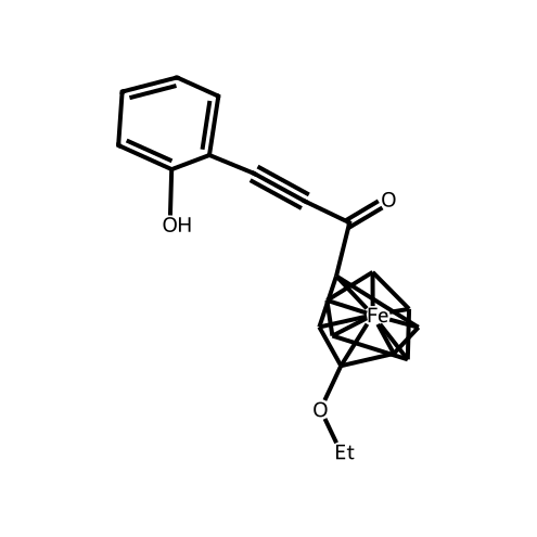 CCO[C]12[CH]3[CH]4[C]5(C(=O)C#Cc6ccccc6O)[CH]1[Fe]34251678[CH]2[CH]1[CH]6[CH]7[CH]28